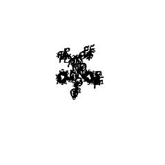 COCCOCN(C(=O)N(COCc1ccccc1)c1nc(OCC(F)(F)F)cc(OCC(F)(F)F)n1)c1ccc(C(F)(F)F)cc1